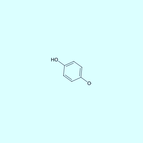 [O]c1ccc(O)cc1